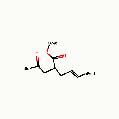 CCCCC/C=C/CC(CC(=O)C(C)(C)C)C(=O)OOC